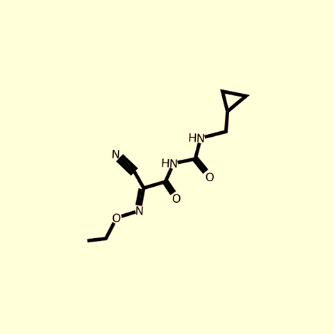 CCO/N=C(\C#N)C(=O)NC(=O)NCC1CC1